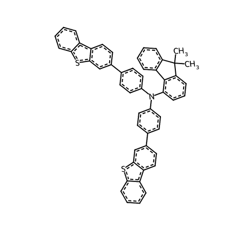 CC1(C)c2ccccc2-c2c(N(c3ccc(-c4ccc5c(c4)sc4ccccc45)cc3)c3ccc(-c4ccc5c(c4)sc4ccccc45)cc3)cccc21